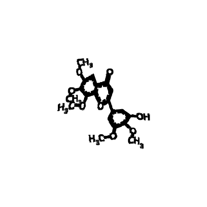 COc1cc(-c2cc(=O)c3cc(OC)c(OC)c(OC)c3o2)cc(O)c1OC